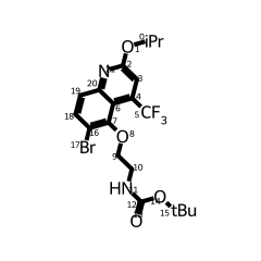 CC(C)Oc1cc(C(F)(F)F)c2c(OCCNC(=O)OC(C)(C)C)c(Br)ccc2n1